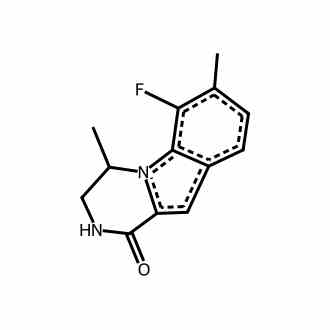 Cc1ccc2cc3n(c2c1F)C(C)CNC3=O